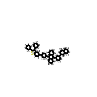 c1ccc(-c2sc3ccc(-c4ccc(-c5c6ccccc6c(-c6cccc(-c7ccc8ccccc8c7)c6)c6ccccc56)cc4)cc3c2-c2ccccc2)cc1